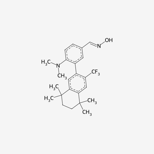 CN(C)c1ccc(C=NO)cc1-c1cc2c(cc1C(F)(F)F)C(C)(C)CCC2(C)C